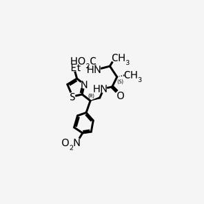 CCc1csc([C@@H](CNC(=O)[C@@H](C)C(C)NC(=O)O)c2ccc([N+](=O)[O-])cc2)n1